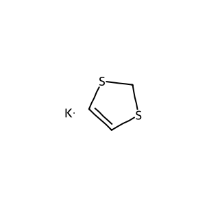 C1=CSCS1.[K]